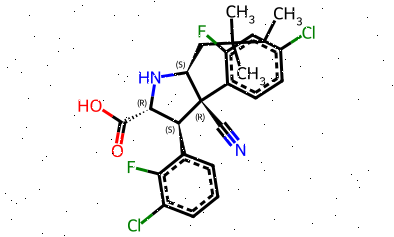 CCC(C)(C)C[C@@H]1N[C@@H](C(=O)O)[C@H](c2cccc(Cl)c2F)[C@@]1(C#N)c1ccc(Cl)cc1F